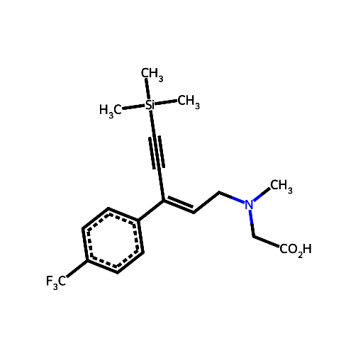 CN(CC=C(C#C[Si](C)(C)C)c1ccc(C(F)(F)F)cc1)CC(=O)O